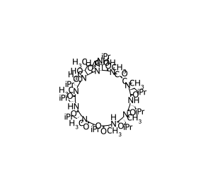 CC(C)C[C@@H]1C(=O)N[C@H](CC(C)C)C(=O)N(C)[C@H](C(C)C)C(=O)N(C)[C@H]([C@H](O)[C@H](C)CCNC(C)C)C(=O)N[C@H]([C@@H](C)O)C(=O)N(C)CC(=O)CN(C)[C@@H](CC(C)C)C(=O)N[C@H](CC(C)C)C(=O)N(C)[C@H](CC(C)C)C(=O)N[C@H](C)C(=O)O[C@@H](C(C)C)C(=O)N1C